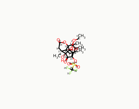 CCOC1C(C)CC[C@@]2(OCC)C13OC(=O)C[C@]2(C)[C@@]1(O)C(=O)C(OS(=O)(=O)C(F)(F)F)=C(C)C31O